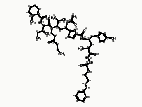 CCCC(=O)OCN(C(=O)[C@@H](NC(=O)C1CCCCN1C)C(C)CC)[C@H](C[C@@H](OC(C)=O)c1nc(C(=O)N[C@@H](Cc2ccc(O)cc2)C[C@H](C)C(=O)NNC(=O)OCCSSc2ccccn2)cs1)C(C)C